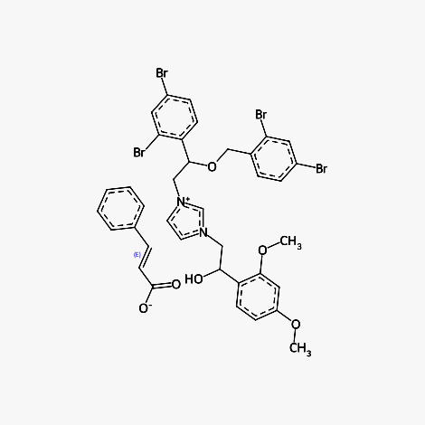 COc1ccc(C(O)Cn2cc[n+](CC(OCc3ccc(Br)cc3Br)c3ccc(Br)cc3Br)c2)c(OC)c1.O=C([O-])/C=C/c1ccccc1